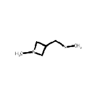 CSCC1CN(C)C1